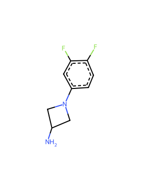 NC1CN(c2ccc(F)c(F)c2)C1